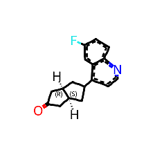 O=C1C[C@@H]2CC(c3ccnc4ccc(F)cc34)C[C@@H]2C1